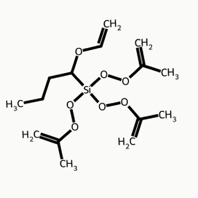 C=COC(CCC)[Si](OOC(=C)C)(OOC(=C)C)OOC(=C)C